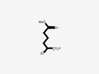 CCC(CCCC(=O)OC)C(=O)O